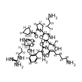 C[C@@H](O)[C@@H](C(=O)N[C@@H](CCCCN)C(=O)N1CCC[C@H]1C(=O)N1CCC[C@H]1C(=O)N[C@@H](CCCNC(=N)N)C(=O)O)N(C(=O)CCCCCN)C(=O)[C@@H](N)Cc1ccccc1